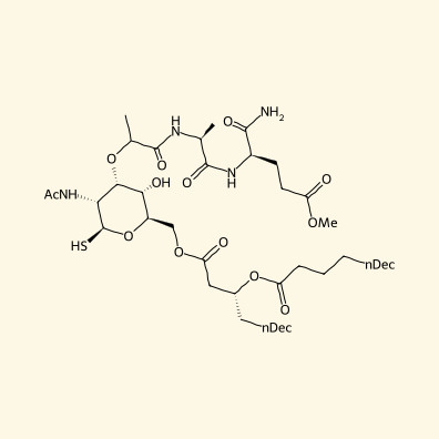 CCCCCCCCCCCCCC(=O)O[C@H](CCCCCCCCCCC)CC(=O)OC[C@H]1O[C@@H](S)[C@H](NC(C)=O)[C@H](OC(C)C(=O)N[C@@H](C)C(=O)N[C@H](CCC(=O)OC)C(N)=O)[C@@H]1O